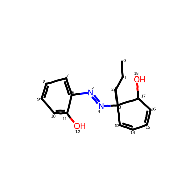 CCCC1(N=Nc2ccccc2O)C=CC=CC1O